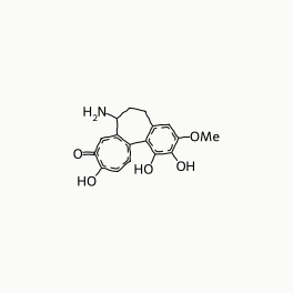 COc1cc2c(c(O)c1O)-c1ccc(O)c(=O)cc1C(N)CC2